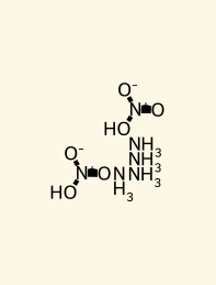 N.N.N.N.O=[N+]([O-])O.O=[N+]([O-])O